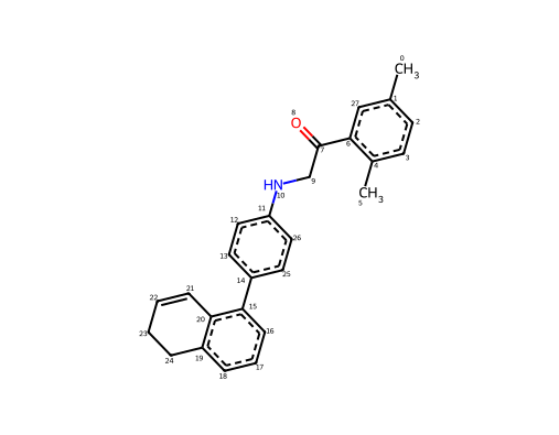 Cc1ccc(C)c(C(=O)CNc2ccc(-c3cccc4c3C=CCC4)cc2)c1